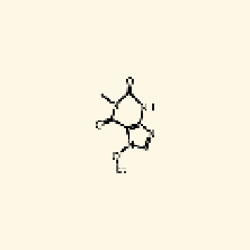 CCOn1cnc2[nH]c(=O)n(C)c(=O)c21